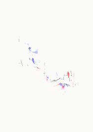 CCN=C=NCCC[N+](C)(C)CCOCCNC(=O)/C=C/c1cc(OC)c(OC)cc1[N+](=O)[O-]